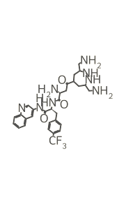 NCC1CC(C(=O)C[C@H](N)C(=O)N[C@@H](Cc2ccc(C(F)(F)F)cc2)C(=O)Nc2cnc3ccccc3c2)CC(CN)NN1